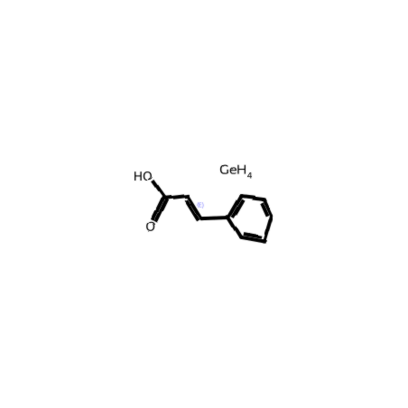 O=C(O)/C=C/c1ccccc1.[GeH4]